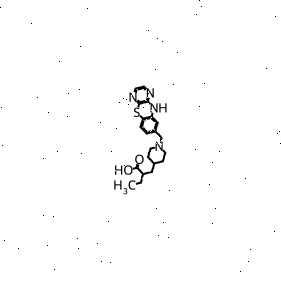 CCC(CC1CCN(Cc2ccc3c(c2)Nc2nccnc2S3)CC1)C(=O)O